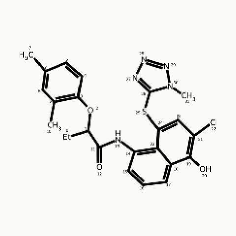 CCC(Oc1ccc(C)cc1C)C(=O)Nc1cccc2c(O)c(Cl)cc(Sc3nnnn3C)c12